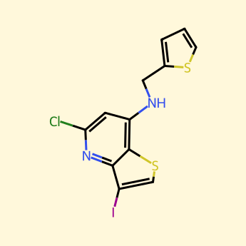 Clc1cc(NCc2cccs2)c2scc(I)c2n1